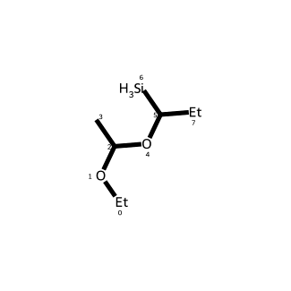 CCOC(C)OC([SiH3])CC